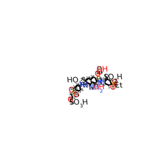 CCS(=O)(=O)c1ccc(/N=N/c2c(SOOO)cc3cc(S(=O)(=O)O)c(/N=N/c4ccc(S(=O)(=O)CCOS(=O)(=O)O)cc4)c(N)c3c2O)c(S(=O)(=O)O)c1